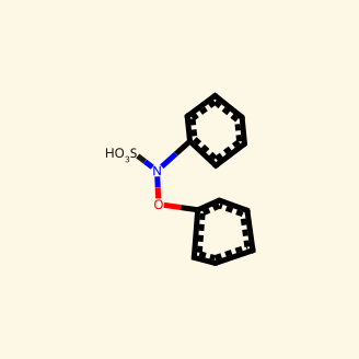 O=S(=O)(O)N(Oc1ccccc1)c1ccccc1